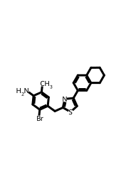 Cc1cc(Cc2nc(-c3ccc4c(c3)CCCC4)cs2)c(Br)cc1N